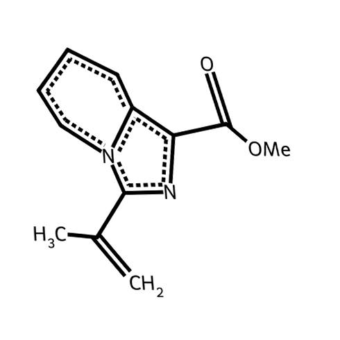 C=C(C)c1nc(C(=O)OC)c2ccccn12